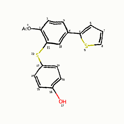 CC(=O)Oc1ccc(-c2cccs2)cc1Sc1ccc(O)cc1